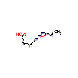 CC/C=C\C[C@H](O)\C=C/C=C/C=C/CC/C=C\C/C=C\CCC(=O)O